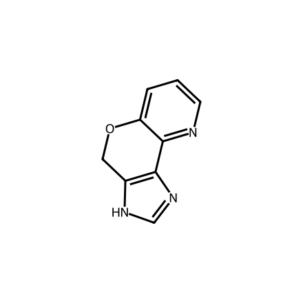 c1cnc2c(c1)OCc1[nH]cnc1-2